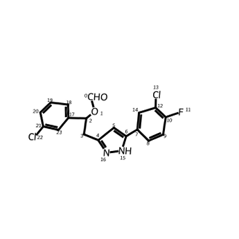 O=COC(Cc1cc(-c2ccc(F)c(Cl)c2)[nH]n1)c1cccc(Cl)c1